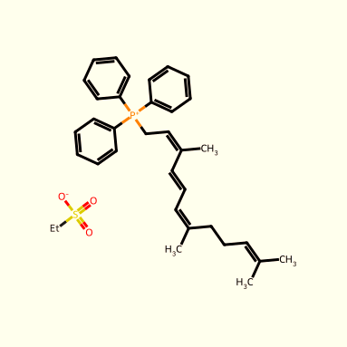 CC(C)=CCCC(C)=CC=CC(C)=CC[P+](c1ccccc1)(c1ccccc1)c1ccccc1.CCS(=O)(=O)[O-]